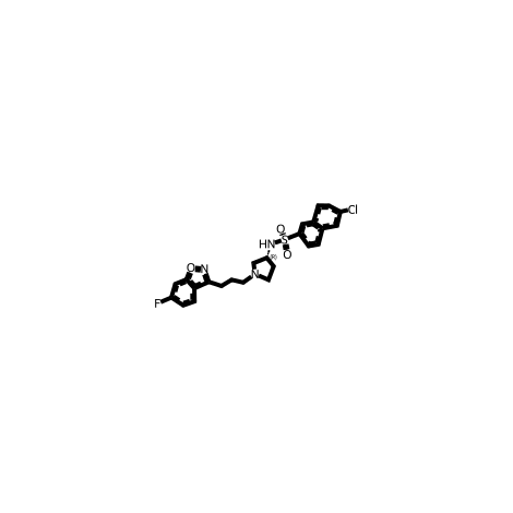 O=S(=O)(N[C@@H]1CCN(CCCc2noc3cc(F)ccc23)C1)c1ccc2cc(Cl)ccc2c1